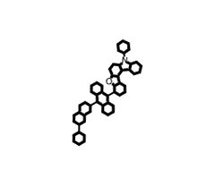 c1ccc(-c2ccc3ccc(-c4c5ccccc5c(-c5cccc6c5oc5ccc7c(c8ccccc8n7-c7ccccc7)c56)c5ccccc45)cc3c2)cc1